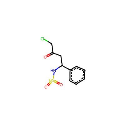 O=C(CCl)CC(N[SH](=O)=O)c1ccccc1